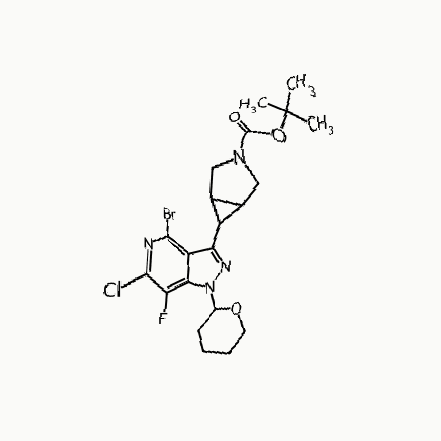 CC(C)(C)OC(=O)N1CC2C(C1)C2c1nn(C2CCCCO2)c2c(F)c(Cl)nc(Br)c12